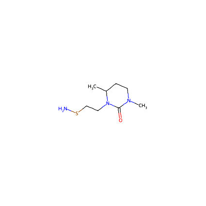 CC1CCN(C)C(=O)N1CCSN